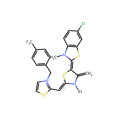 C=C1/C(=C2\Sc3cc(Cl)ccc3N2C)S/C(=C\c2scc[n+]2Cc2ccc(C(F)(F)F)cc2)N1CC